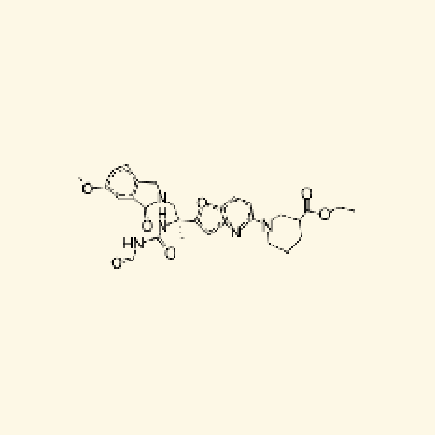 CCOC(=O)C1CCCN(c2ccc3oc([C@](C)(CN4Cc5ccc(OC)cc5C4=O)NC(=O)NC=O)cc3n2)C1